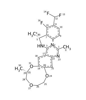 Cc1nc(N[C@H](C)c2cccc(C(F)F)c2F)c2cc3c(cc2n1)OCCOC[C@H](C)O3